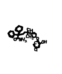 CC(C)(CCC(C(N)=O)(c1ccccc1)c1ccccc1)N1CC[C@H](Oc2ccc(Cl)cc2O)C1